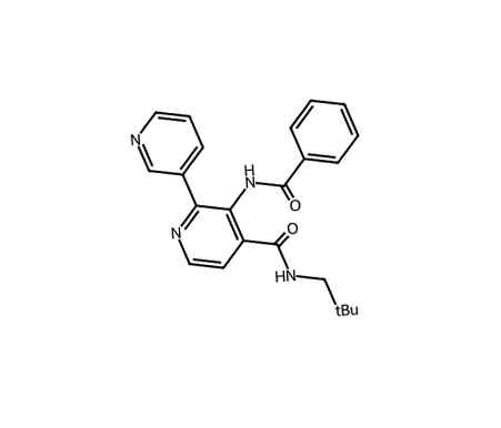 CC(C)(C)CNC(=O)c1ccnc(-c2cccnc2)c1NC(=O)c1ccccc1